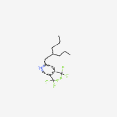 CCCC(CCC)Cc1cc(C(F)(F)F)c(C(F)(F)F)cn1